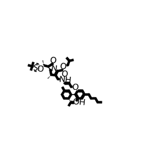 C=C(C)[C@@H]1CCC(C)=C[C@H]1c1c(O)cc(CCCCC)cc1OC/C=C/NCC1=C(C(=O)OCC(C)C)N2C(=O)[C@H]([C@@H](C)O[Si](C)(C)C(C)(C)C)C2[C@H]1C